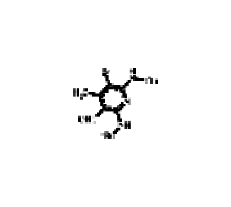 Cc1c(Br)c(NC(C)(C)C)nc(NC(C)(C)C)c1C=O